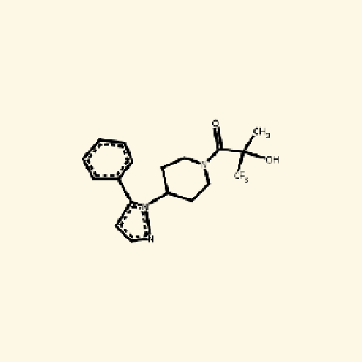 CC(O)(C(=O)N1CCC(n2nccc2-c2ccccc2)CC1)C(F)(F)F